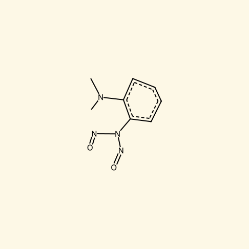 CN(C)c1ccccc1N(N=O)N=O